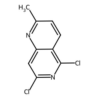 Cc1ccc2c(Cl)nc(Cl)cc2n1